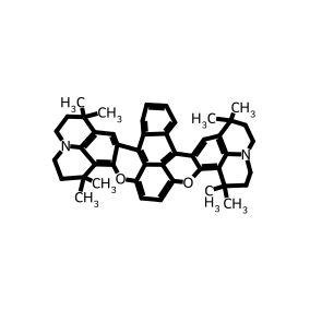 CC1(C)CCN2CCC(C)(C)c3c4c(cc1c32)-c1c2ccccc2c2c3c(ccc(c13)O4)Oc1c-2cc2c3c1C(C)(C)CCN3CCC2(C)C